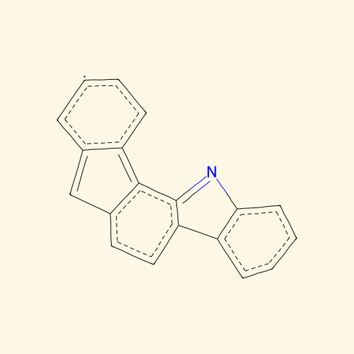 [c]1ccc2c(c1)=Cc1ccc3c(c1=2)=Nc1ccccc1-3